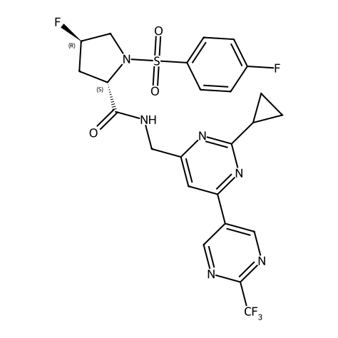 O=C(NCc1cc(-c2cnc(C(F)(F)F)nc2)nc(C2CC2)n1)[C@@H]1C[C@@H](F)CN1S(=O)(=O)c1ccc(F)cc1